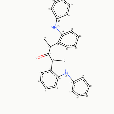 CC(C(=O)C(C)c1ccccc1Nc1ccccc1)c1ccccc1Nc1ccccc1